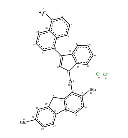 Cc1cccc2c(C3=C[CH]([Zr+2][c]4c(C(C)(C)C)ccc5c4Cc4cc(C(C)(C)C)ccc4-5)c4ccccc43)cccc12.[Cl-].[Cl-]